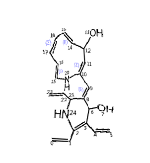 C=CC1=C(C=C)C(O)/C(=C/C2=C/C(O)/C=C/C=C\C=C\N2)C(C=C)N1